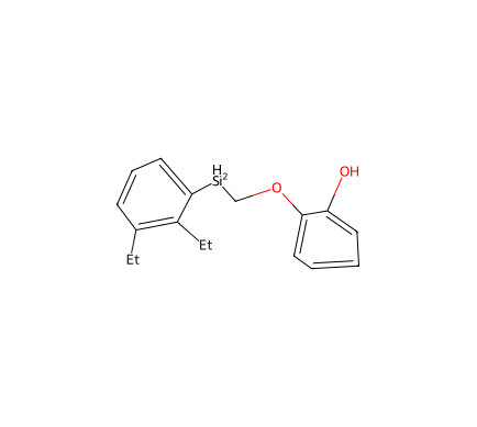 CCc1cccc([SiH2]COc2ccccc2O)c1CC